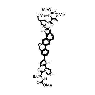 CC[C@H](C)C(NC(=O)OC)C(=O)N1C[C@@H](C)CC1c1ncc(-c2ccc3c(c2)COc2cc4c(ccc5nc([C@@H]6CC(COC)CN6C(=O)C(NC(=O)OC)[C@@H](C)OC)[nH]c54)cc2-3)[nH]1